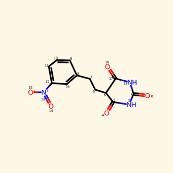 O=C1NC(=O)C(CCc2cccc([N+](=O)[O-])c2)C(=O)N1